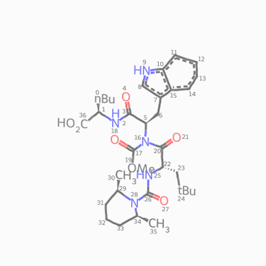 CCCC[C@@H](NC(=O)[C@@H](Cc1c[nH]c2ccccc12)N(C(=O)OC)C(=O)[C@H](CC(C)(C)C)NC(=O)N1[C@H](C)CCC[C@@H]1C)C(=O)O